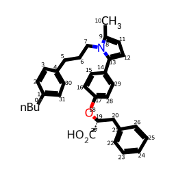 CCCCc1ccc(CCCn2c(C)ccc2-c2ccc(O[C@H](Cc3ccccc3)C(=O)O)cc2)cc1